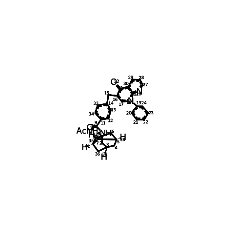 CC(=O)N[C@]12C[C@@H]3C[C@H](C1)[C@@H](NC(=O)c1ccc(Cc4cn(-c5ccccc5)c5ncccc5c4=O)cc1)[C@@H](C3)C2